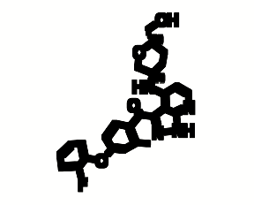 Cc1cc(Oc2ccccc2F)ccc1C(=O)c1n[nH]c2nccc(N[C@@H]3CC[C@@H](CO)OC3)c12